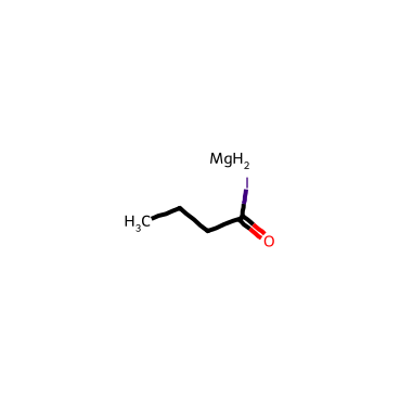 CCCC(=O)I.[MgH2]